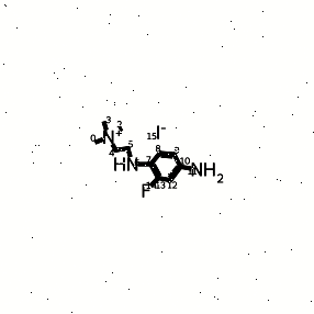 C[N+](C)(C)CCNc1ccc(N)cc1F.[I-]